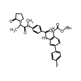 CC(C(=O)N(C)c1ccc(C(=O)Nc2cc(-c3ccc(F)cc3)ccc2NC(=O)OC(C)(C)C)cc1)N1CCCC1=O